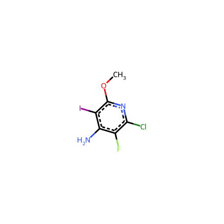 COc1nc(Cl)c(F)c(N)c1I